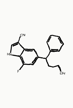 N#Cc1c[nH]c2c(F)cc(C(CCO)c3ccccc3)cc12